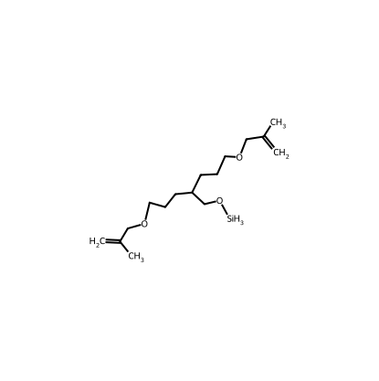 C=C(C)COCCCC(CCCOCC(=C)C)CO[SiH3]